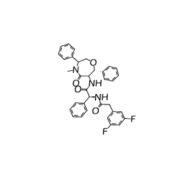 CN1C(=O)C(NC(=O)[C@@H](NC(=O)Cc2cc(F)cc(F)c2)c2ccccc2)[C@@H](c2ccccc2)OCC1c1ccccc1